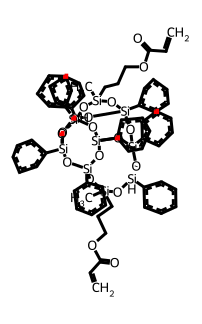 C=CC(=O)OCCC[Si]1(C)O[SiH](c2ccccc2)O[Si]2(c3ccccc3)O[Si]3(c4ccccc4)O[SiH](c4ccccc4)O[Si]4(c5ccccc5)O[Si](c5ccccc5)(O1)O[Si](c1ccccc1)(O2)O[Si](c1ccccc1)(O[Si](C)(CCCOC(=O)C=C)O3)O4